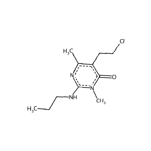 CCCNc1nc(C)c(CCCl)c(=O)n1C